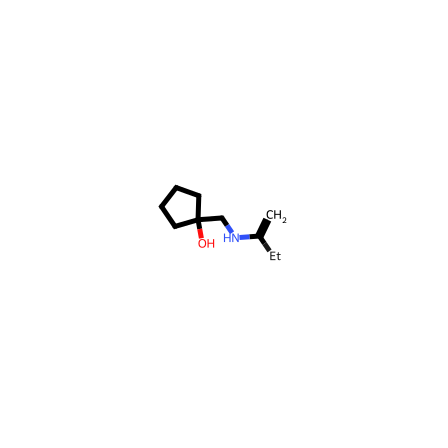 C=C(CC)NCC1(O)CCCC1